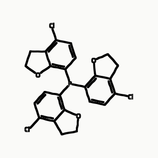 Clc1ccc(P(c2ccc(Cl)c3c2OCC3)c2ccc(Cl)c3c2OCC3)c2c1CCO2